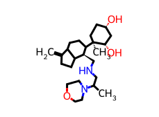 C=C1CCC2C1CCC([C@@]1(C)CC[C@H](O)C[C@@H]1O)[C@H]2CNCC(C)N1CCOCC1